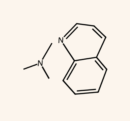 CN(C)C.c1ccc2ncccc2c1